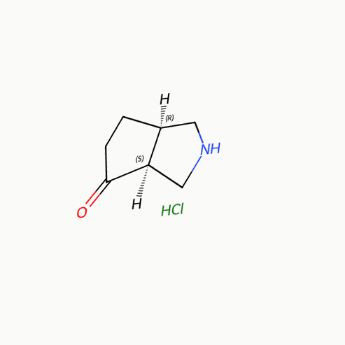 Cl.O=C1CC[C@H]2CNC[C@@H]12